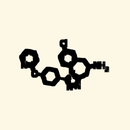 NC1Cc2cc(Cl)ccc2-n2c(nnc2[C@H]2CC[C@H](Oc3ccccn3)CC2)C1